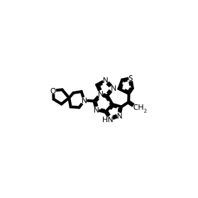 C=C(c1ccsc1)c1n[nH]c2nc(N3CCC4(CCOC4)CC3)n3cnnc3c12